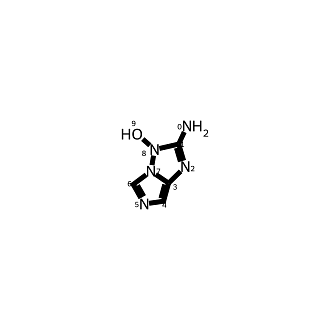 Nc1nc2cncn2n1O